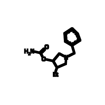 CCC1CN(Cc2ccccc2)CC1OC(N)=O